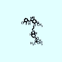 COc1cc2ncnc(Nc3cccc(Cl)c3F)c2cc1OCCCN1C[C@@H]2CCN(C(=O)OC(C)(C)C)C[C@@H]2C1